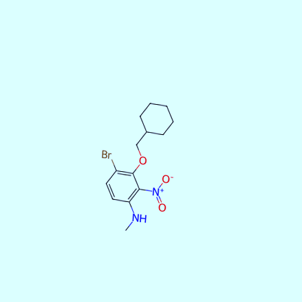 CNc1ccc(Br)c(OCC2CCCCC2)c1[N+](=O)[O-]